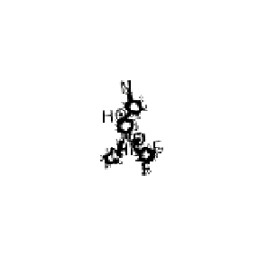 N#Cc1cccc([C@]2(O)CC[C@H](N(CCN3CCCC3)C(=O)Nc3cc(F)cc(F)c3)CC2)c1